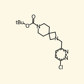 CC(C)(C)OC(=O)N1CCC2(CC1)CN(Cc1ccc(Cl)nn1)C2